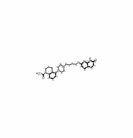 CC(=O)N1CCCc2c(N3CCN(CCCCOc4ccc5ccc(=O)[nH]c5n4)CC3)cccc21